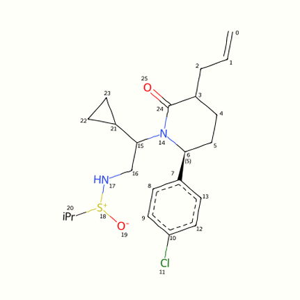 C=CCC1CC[C@@H](c2ccc(Cl)cc2)N(C(CN[S+]([O-])C(C)C)C2CC2)C1=O